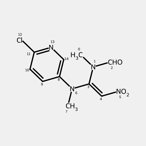 CN(C=O)C(=C[N+](=O)[O-])N(C)c1ccc(Cl)nc1